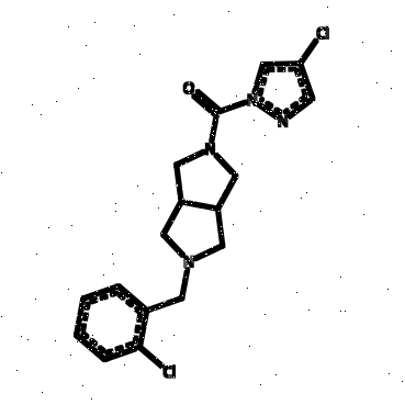 O=C(N1CC2CN(Cc3ccccc3Cl)CC2C1)n1cc(Cl)cn1